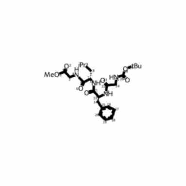 COC(=O)CNC(=O)[C@H](CC(C)C)NC(=O)[C@H](Cc1ccccc1)NC(=O)CNC(=O)OC(C)(C)C